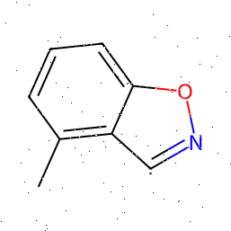 Cc1cccc2on[c]c12